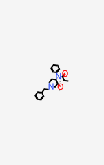 CCC(=O)N(c1ccccc1)[C@H]1CCN(CCc2ccccc2)C[C@]1(C)OC